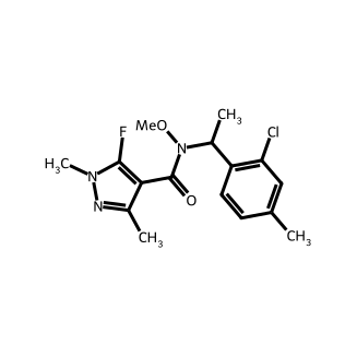 CON(C(=O)c1c(C)nn(C)c1F)C(C)c1ccc(C)cc1Cl